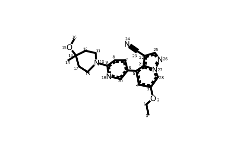 CCOc1cc(-c2ccc(N3CCC(C)(OC)CC3)nc2)c2c(C#N)cnn2c1